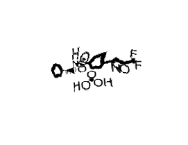 O=C(O)O.O=S(=O)(N[C@H]1C[C@@H]1c1ccccc1)c1ccc(-c2cc(C(F)F)on2)cc1